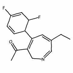 CCC1=CC(C2C=CC(F)=CC2F)=C(C(C)=O)CN=C1